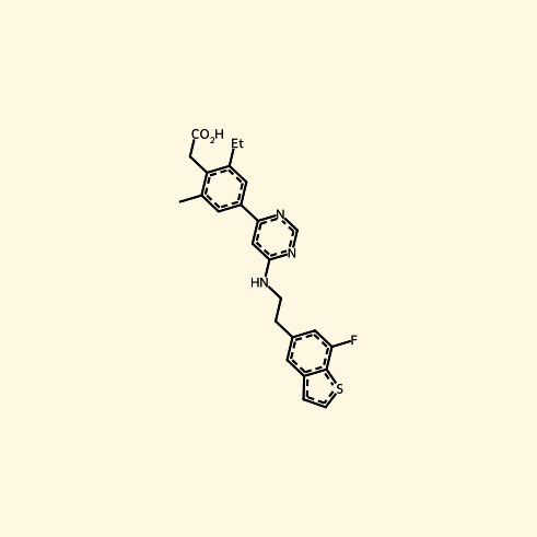 CCc1cc(-c2cc(NCCc3cc(F)c4sccc4c3)ncn2)cc(C)c1CC(=O)O